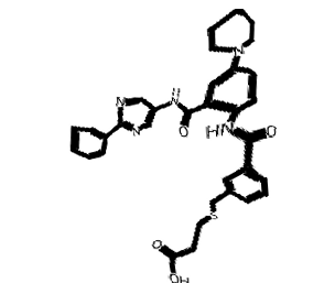 O=C(O)CCSCc1cccc(C(=O)Nc2ccc(N3CCCCC3)cc2C(=O)Nc2cnc(-c3ccccc3)nc2)c1